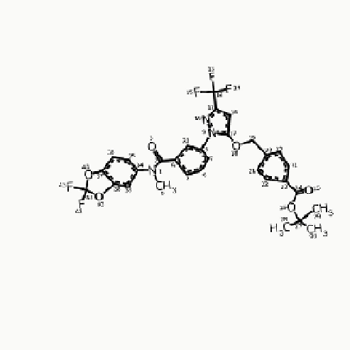 CN(C(=O)c1cccc(-n2nc(C(F)(F)F)cc2OCc2ccc(C(=O)OC(C)(C)C)cc2)c1)c1ccc2c(c1)OC(F)(F)O2